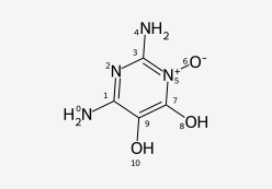 Nc1nc(N)[n+]([O-])c(O)c1O